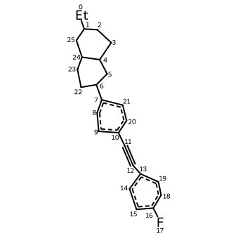 CCC1CCC2CC(c3ccc(C#Cc4ccc(F)cc4)cc3)CCC2C1